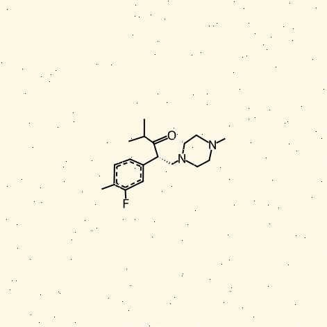 Cc1ccc([C@@H](CN2CCN(C)CC2)C(=O)C(C)C)cc1F